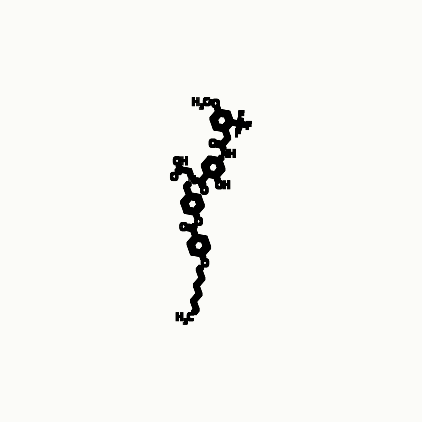 CCCCCCCOc1ccc(C(=O)Oc2ccc(CN(CC(=O)O)C(=O)c3ccc(NC(=O)Cc4ccc(OC)cc4C(F)(F)F)cc3O)cc2)cc1